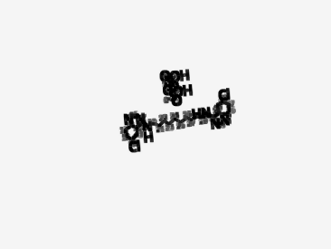 CS(=O)(=O)O.CS(=O)(=O)O.Clc1ccc2ncnc(NCCCCCCCCCCNc3ncnc4ccc(Cl)cc34)c2c1